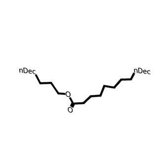 CCCCCCCCCCCCCCCCCC(=O)OCCCCCCCCCCCCC